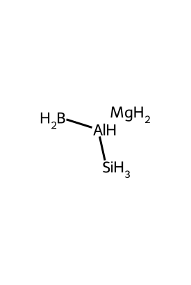 [BH2][AlH][SiH3].[MgH2]